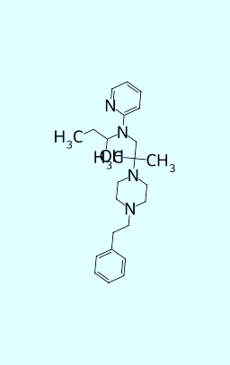 CCC(O)N(CC(C)(C)N1CCN(CCc2ccccc2)CC1)c1ccccn1